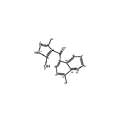 Cc1n[nH]c(O)c1C(=O)c1ccc(C)c2ncccc12